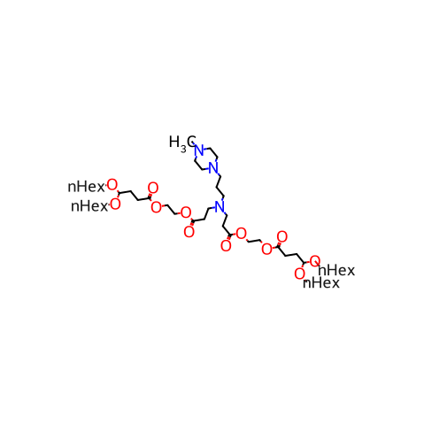 CCCCCCOC(CCC(=O)OCCOC(=O)CCN(CCCN1CCN(C)CC1)CCC(=O)OCCOC(=O)CCC(OCCCCCC)OCCCCCC)OCCCCCC